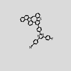 N#Cc1ccc(-c2cc(-c3ccc(F)cc3)nc(-c3ccc(-c4cc5sc6cccc7cc8c9c(cccc9c(c4)c5c76)-c4c-8ccc5ccccc45)cc3)n2)cc1